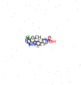 CC(C)c1c(-c2cc(Cl)ncc2F)[nH]c2ccc(C3CCN(C(=O)O)CC3)cc12